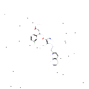 COC(=O)CC(NC(=O)c1cnn(CCc2ccc3c(n2)NCCC3)c1COC(C)(C)C)c1cccc(Cl)c1